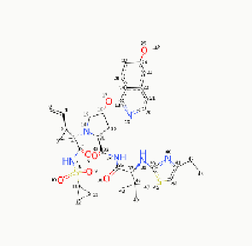 C=C[C@@H]1C[C@@]1(C(=O)NS(=O)(=O)C1CC1)N1C[C@H](Oc2nccc3cc(OC)ccc23)C[C@H]1C(=O)NC(=O)[C@@H](Nc1nc(CC)cs1)C(C)(C)C